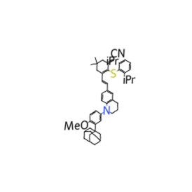 COc1ccc(N2CCCc3cc(/C=C/C4=C(Sc5c(C(C)C)cccc5C(C)C)C(=C/C#N)/CC(C)(C)C4)ccc32)cc1C12CC3CC(CC(C3)C1)C2